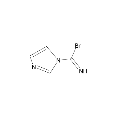 N=C(Br)n1ccnc1